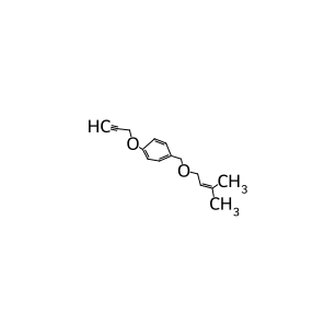 C#CCOc1ccc(COCC=C(C)C)cc1